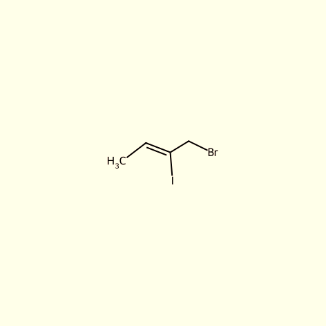 C/C=C(\I)CBr